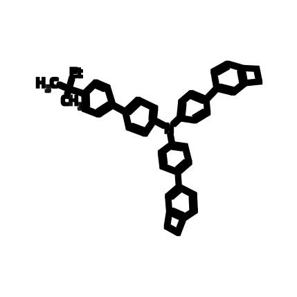 CCC(C)(C)c1ccc(-c2ccc(N(c3ccc(-c4ccc5c(c4)CC5)cc3)c3ccc(-c4ccc5c(c4)CC5)cc3)cc2)cc1